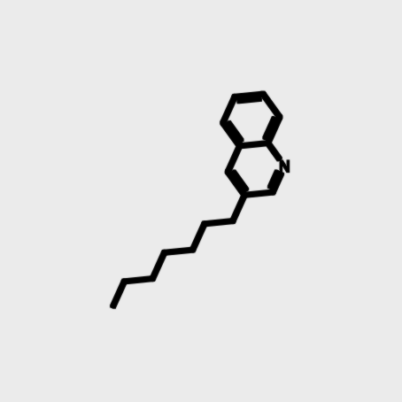 CCCCCCCc1cnc2ccccc2c1